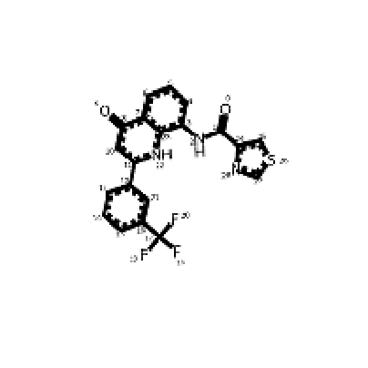 O=C(Nc1cccc2c(=O)cc(-c3cccc(C(F)(F)F)c3)[nH]c12)c1cscn1